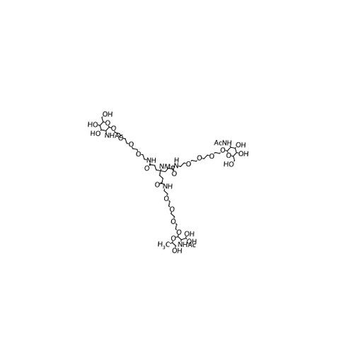 CNC(CCC(=O)NCCOCCOCCOCCOC(OC(C)CO)C(NC(C)=O)C(O)O)(CCC(=O)NCCOCCOCCOCCOC1OC(CO)C(O)C(O)C1NC(C)=O)CCC(=O)NCCOCCOCCOCCOC1OC(CO)C(O)C(O)C1NC(C)=O